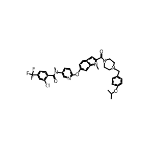 CC(C)Oc1ccc(CN2CCN(C(=O)c3cc4ccc(Oc5ccc(N(C)C(=O)c6ccc(C(F)(F)F)cc6Cl)cn5)cc4n3C)CC2)cc1